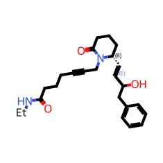 CCNC(=O)CCCC#CCN1C(=O)CCC[C@@H]1/C=C/C(O)Cc1ccccc1